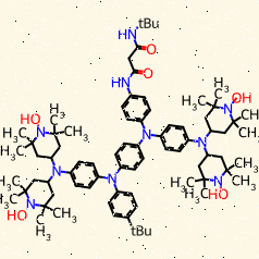 CC(C)(C)NC(=O)CC(=O)Nc1ccc(N(c2ccc(N(c3ccc(N(C4CC(C)(C)N(O)C(C)(C)C4)C4CC(C)(C)N(O)C(C)(C)C4)cc3)c3ccc(C(C)(C)C)cc3)cc2)c2ccc(N(C3CC(C)(C)N(O)C(C)(C)C3)C3CC(C)(C)N(O)C(C)(C)C3)cc2)cc1